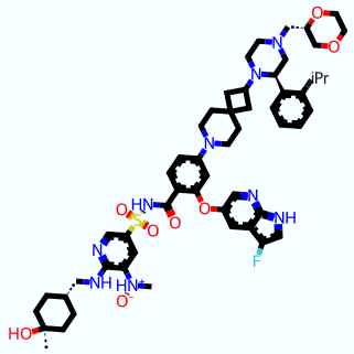 CC(C)c1ccccc1[C@@H]1CN(C[C@H]2COCCO2)CCN1C1CC2(CCN(c3ccc(C(=O)NS(=O)(=O)c4cnc(NC[C@H]5CC[C@](C)(O)CC5)c([NH+](C)[O-])c4)c(Oc4cnc5[nH]cc(F)c5c4)c3)CC2)C1